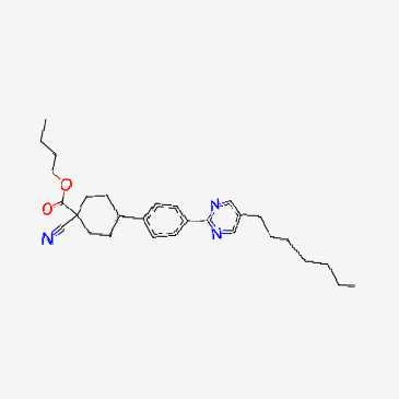 CCCCCCCc1cnc(-c2ccc(C3CCC(C#N)(C(=O)OCCCC)CC3)cc2)nc1